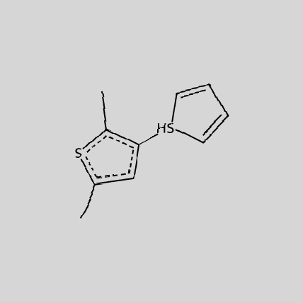 Cc1cc([SH]2C=CC=C2)c(C)s1